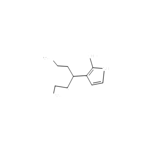 COCCC(CCOC)c1cc[nH]c1C=O